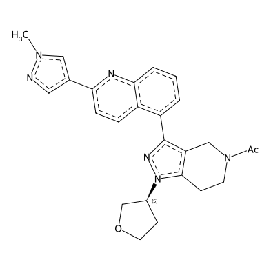 CC(=O)N1CCc2c(c(-c3cccc4nc(-c5cnn(C)c5)ccc34)nn2[C@H]2CCOC2)C1